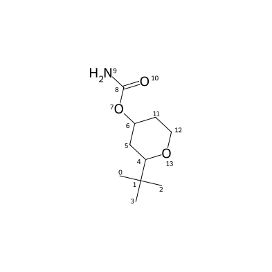 CC(C)(C)C1CC(OC(N)=O)CCO1